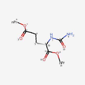 CCCOC(=O)CC[C@H](NC(N)=O)C(=O)OCCC